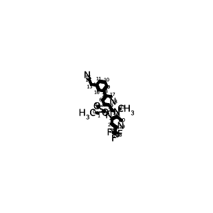 CCS(=O)(=O)c1cc(-c2cccc(CC#N)c2)cnc1-c1nc2cc(C(F)(F)F)ncc2n1C